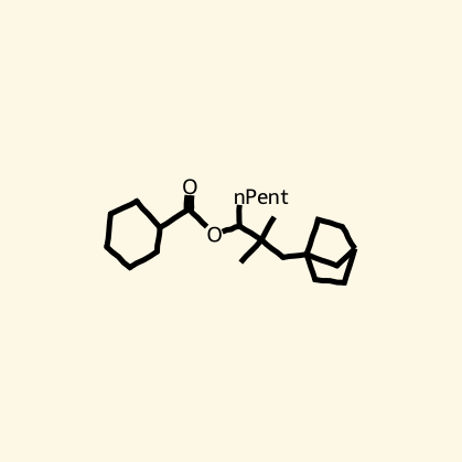 CCCCCC(OC(=O)C1CCCCC1)C(C)(C)CC12CCC(CC1)C2